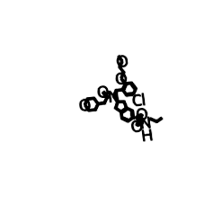 CCCNS(=O)(=O)c1ccc2c(c1)CC(N(Cc1cc(Cl)ccc1OCCOC)C(=O)CC1CCOCC1)C2